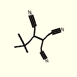 CC(C)(C)C(C#N)C(C#N)C#N